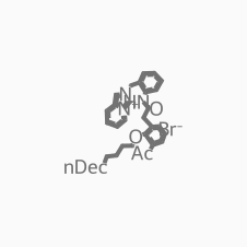 CCCCCCCCCCCCCCOc1c(CC(=O)Nc2ccccc2Cn2cc3cccc[n+]3c2)cccc1C(C)=O.[Br-]